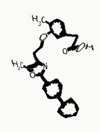 Cc1ccc(CC(=O)O)cc1OCCc1nc(-c2ccc(-c3ccccc3)cc2)oc1C